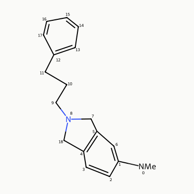 CNc1ccc2c(c1)CN(CCCc1ccccc1)C2